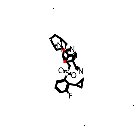 N#Cc1ccc(N2C3CCC2CN(C(=O)CCS(=O)(=O)c2cccc(F)c2C2CC2)C3)nc1